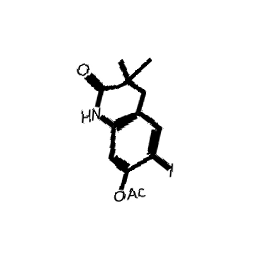 CC(=O)Oc1cc2c(cc1I)CC(C)(C)C(=O)N2